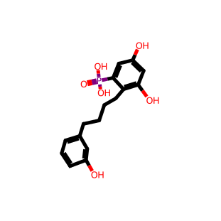 O=P(O)(O)c1cc(O)cc(O)c1CCCCc1cccc(O)c1